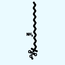 CCCCCCCCCCCCCCCCC(C)(C)S(=O)(=O)OC.N